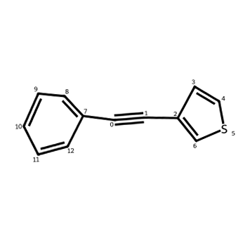 C(#Cc1ccsc1)c1ccccc1